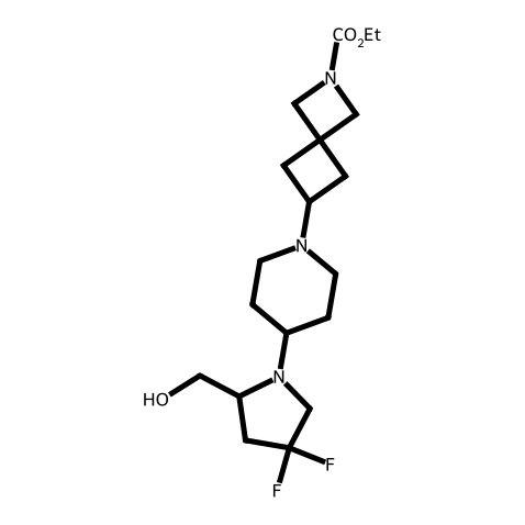 CCOC(=O)N1CC2(CC(N3CCC(N4CC(F)(F)CC4CO)CC3)C2)C1